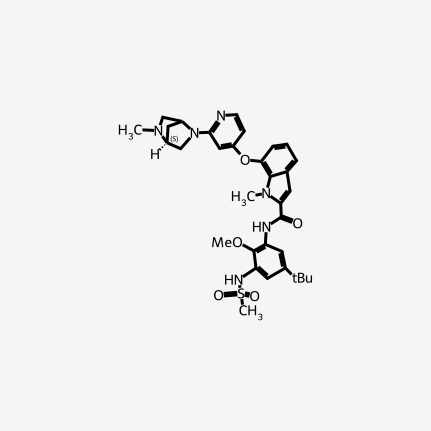 COc1c(NC(=O)c2cc3cccc(Oc4ccnc(N5C[C@@H]6CC5CN6C)c4)c3n2C)cc(C(C)(C)C)cc1NS(C)(=O)=O